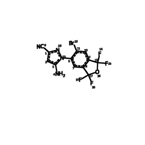 N#Cc1cc(N)n(-c2cc3c(cc2Br)C(F)(F)OC3(F)F)n1